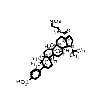 C=C(C)[C@@H]1CC[C@]2(C(=O)NCCNC)CC[C@]3(C)[C@H](CC[C@@H]4[C@@]5(C)CC=C(c6ccc(C(=O)O)cc6)C(C)(C)[C@@H]5CC[C@]43C)[C@@H]12